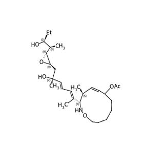 CC[C@H](O)[C@@H](C)[C@H]1O[C@@H]1C[C@@](C)(O)C=CC=C(C)[C@H]1NOCCCCCC(OC(C)=O)C=C[C@@H]1C